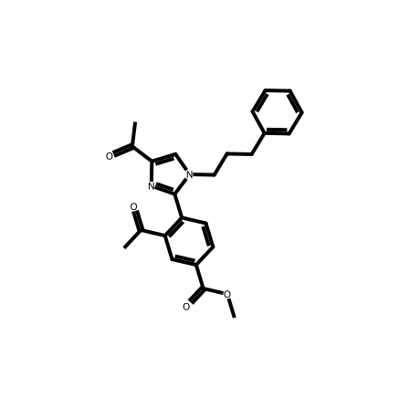 COC(=O)c1ccc(-c2nc(C(C)=O)cn2CCCc2ccccc2)c(C(C)=O)c1